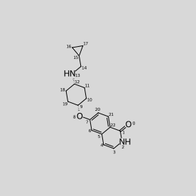 O=c1[nH]ccc2cc(O[C@H]3CC[C@@H](NCC4CC4)CC3)ccc12